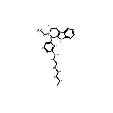 C[C@@H]1Cc2c([nH]c3ccccc23)[C@@H](c2cccc(OCCNCCCF)n2)N1CC(F)(F)F